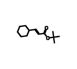 CC(C)(C)OC(=O)/C=C/C1CCCCC1